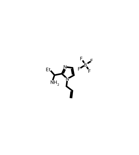 C=CCn1ccnc1C(N)CC.F[B-](F)(F)F